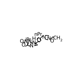 C=CC(=O)N1CCN(C(CCC)c2ccc(C3(Nc4ncc5c(n4)N(C(C)C)C(=O)OC5)CC3)cc2)CC1